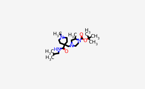 CC(C)CNC(=O)C1(CN2CCN(C(=O)OC(C)(C)C)C(C)C2)CCN(C)CC1